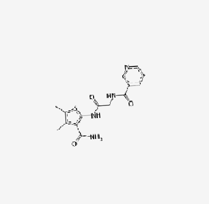 Cc1sc(NC(=O)CNC(=O)c2cccnc2)c(C(N)=O)c1C